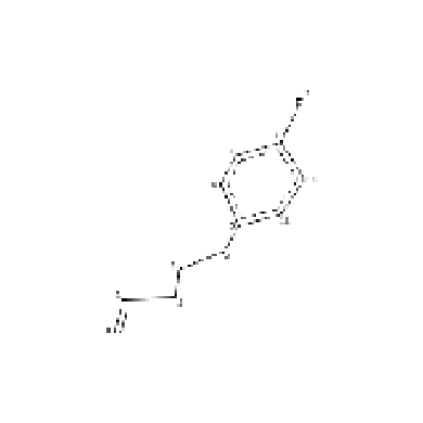 [CH]=CCCCc1ccc(F)cc1